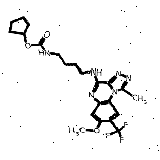 COc1cc2nc(NCCCCNC(=O)OC3CCCC3)c3nnc(C)n3c2cc1C(F)(F)F